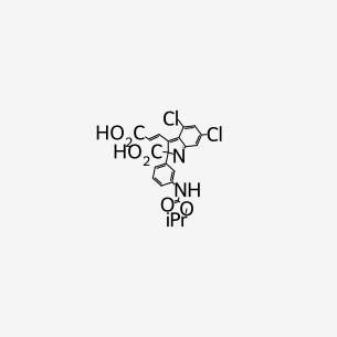 CC(C)OC(=O)Nc1cccc(C2(C(=O)O)N=c3cc(Cl)cc(Cl)c3=C2/C=C/C(=O)O)c1